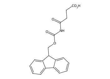 O=C(O)CCC(=O)NC(=O)OCC1c2ccccc2-c2ccccc21